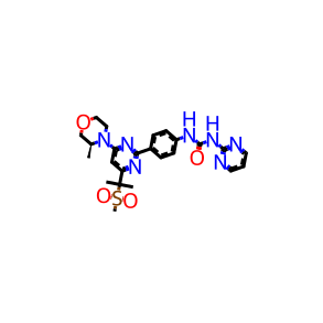 C[C@H]1COCCN1c1cc(C(C)(C)S(C)(=O)=O)nc(-c2ccc(NC(=O)Nc3ncccn3)cc2)n1